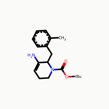 Cc1ccccc1CC1C(N)=CCCN1C(=O)OC(C)(C)C